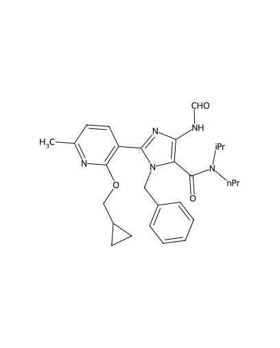 CCCN(C(=O)c1c(NC=O)nc(-c2ccc(C)nc2OCC2CC2)n1Cc1ccccc1)C(C)C